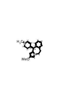 COc1cc2n(c1)CCc1ccccc1C2=C1C=CN(C)CC1